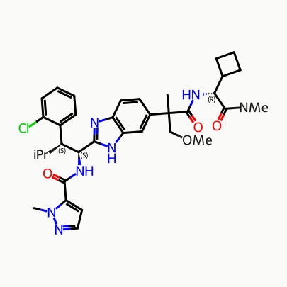 CNC(=O)[C@H](NC(=O)C(C)(COC)c1ccc2nc([C@@H](NC(=O)c3ccnn3C)[C@H](c3ccccc3Cl)C(C)C)[nH]c2c1)C1CCC1